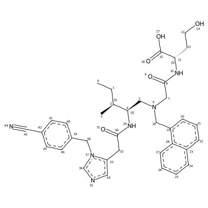 CC[C@H](C)[C@@H](CN(CC(=O)N[C@@H](CCO)C(=O)O)Cc1cccc2ccccc12)NC(=O)Cc1cncn1Cc1ccc(C#N)cc1